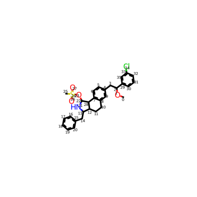 COC(Cc1ccc2c(c1)CCC1C(Cc3ccccc3)NC(OS(C)(=O)=O)C21)c1cccc(Cl)c1